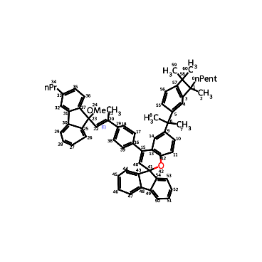 CCCCCC1(C)c2cc(C(C)(C)c3ccc4c(c3)C(c3ccc(/C(C)=C/C5(OC)c6ccccc6-c6cc(CCC)ccc65)cc3)=CC3(O4)c4ccccc4-c4ccccc43)ccc2C1(C)C